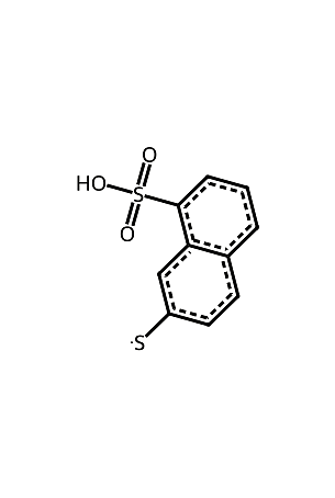 O=S(=O)(O)c1cccc2ccc([S])cc12